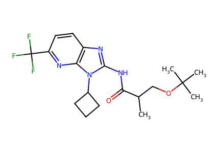 CC(COC(C)(C)C)C(=O)Nc1nc2ccc(C(F)(F)F)nc2n1C1CCC1